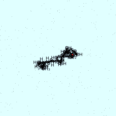 C/C(=N/O)C(C)(C)NCCN(CCNC(=O)CCC(=O)NCCCC[C@H]1C[C@H](O)CSC[C@@H]([C@@H](O)N[C@@H](CCCNC(=N)N)C(=O)CCC(=O)N[C@@H](CC(=O)O)C(=O)C[C@H]2CSSC[C@@H](C(=O)NCC(=O)O)C[C@@H](O)[C@H](Cc3ccccc3)NC2O)CC(=O)[C@H](CC(=O)O)N[C@@H]1O)CCNC(C)(C)/C(C)=N\O